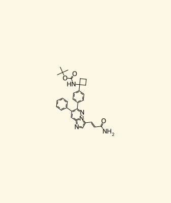 CC(C)(C)OC(=O)NC1(c2ccc(-c3nn4c(C=CC(N)=O)cnc4cc3-c3ccccc3)cc2)CCC1